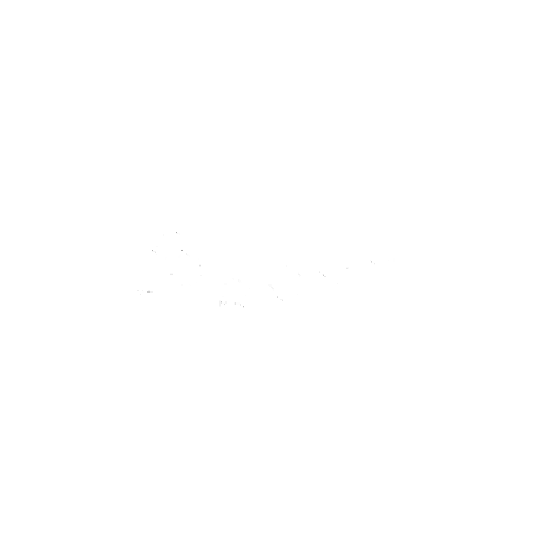 CCCN1CC2(C1)CN(c1ccc(-c3n[nH]c(-c4cc(OC)c5ncnn5c4)c3CC(F)(F)F)nc1)C2